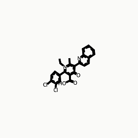 CCn1c(C)c(-c2ccc3ccccc3n2)c(=O)c(C(=O)O)c1-c1ccc(Cl)c(Cl)c1